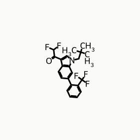 CC(C)(C)Cn1cc(C(=O)C(F)F)c2ccc(-c3ccccc3C(F)(F)F)cc21